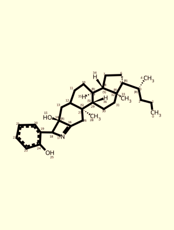 CCC[C@@H](C)[C@H]1CC[C@H]2[C@@H]3CCC4C[C@]5(O)C(=NC5c5ccccc5O)C[C@]4(C)[C@H]3CC[C@]12C